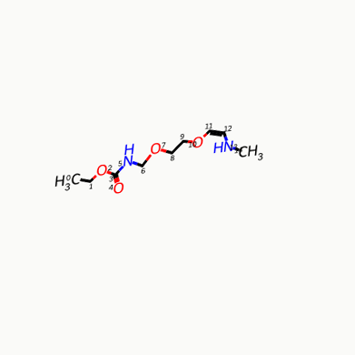 CCOC(=O)NCOCCO/C=C\NC